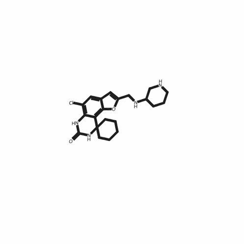 O=C1Nc2c(Cl)cc3cc(CNC4CCCNC4)oc3c2C2(CCCCC2)N1